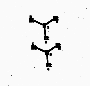 CCB(CC)CC.CCN(CC)CC